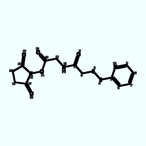 O=C(CSSc1ccccn1)NCC(=O)ON1C(=O)CCC1=O